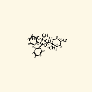 CC1(CO[Si](c2ccccc2)(c2ccccc2)C(C)(C)C)CCC(Br)CC1